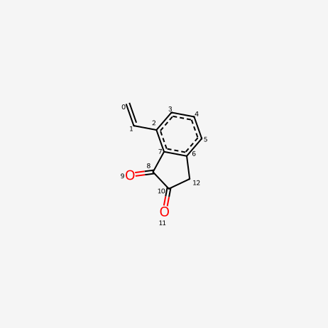 C=Cc1cccc2c1C(=O)C(=O)C2